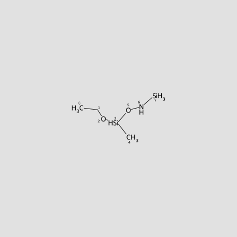 CCO[SiH](C)ON[SiH3]